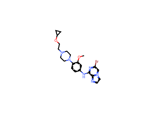 COc1cc(Nc2nc(Br)cn3ccnc23)ccc1N1CCN(CCOC2CC2)CC1